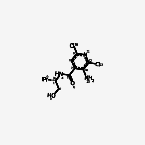 CC(C)[C@@H](CO)NC(=O)c1cc(Cl)nc(Cl)c1N